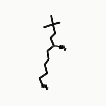 CC(C)(C)CCC(N)CCCCCN